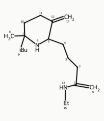 C=C(CCCC1NC(C)(C(C)CC)CCC1=C)NCC